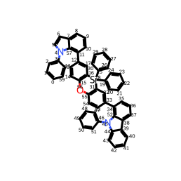 c1ccc(-n2ccc3cccc(-c4ccc5c(c4)[Si](c4ccccc4)(c4ccccc4)c4cc(-c6cccc7c8ccccc8n(-c8ccccc8)c67)ccc4O5)c32)cc1